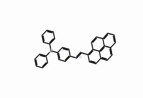 C(=C\c1ccc2ccc3cccc4ccc1c2c34)/c1ccc(N(c2ccccc2)c2ccccc2)cc1